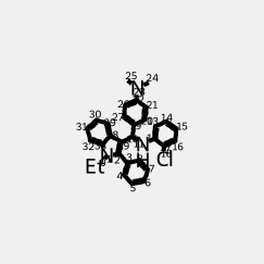 CCn1c(-c2ccccc2)c(C(Nc2ccccc2Cl)c2ccc(N(C)C)cc2)c2ccccc21